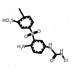 CCNC(=O)Nc1ccc(N)c(S(=O)(=O)c2ccc(C)c(S(=O)(=O)O)c2)c1